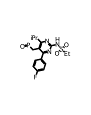 CCS(=O)(=O)Nc1nc(-c2ccc(F)cc2)c(CP=O)c(C(C)C)n1